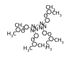 Cc1cc(C)cc(Oc2cccc(-c3nc(Cc4nc(-c5cccc(Oc6cc(C)cc(C)c6)c5)nc(-c5cccc(Oc6cc(C)cc(C)c6)c5)n4)nc(-c4cccc(Oc5cc(C)cc(C)c5)c4)n3)c2)c1